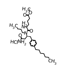 CCCCCCCc1ccc(C[C@@H](CC(N)=O)N(CCCC)C(=O)[C@@H](N)CCCC(=O)OC)cc1.Cl